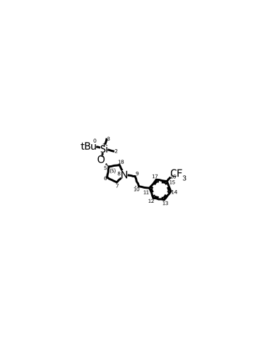 CC(C)(C)[Si](C)(C)O[C@H]1CCN(C[CH]c2cccc(C(F)(F)F)c2)C1